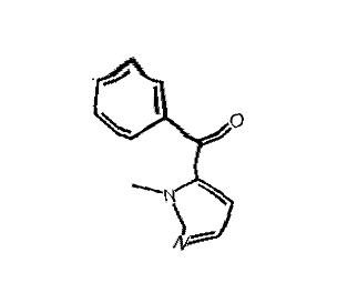 Cn1nccc1C(=O)c1cc[c]cc1